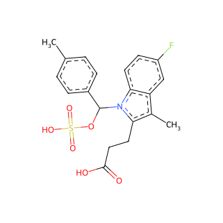 Cc1ccc(C(OS(=O)(=O)O)n2c(CCC(=O)O)c(C)c3cc(F)ccc32)cc1